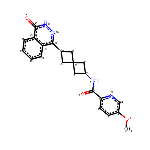 COc1ccc(C(=O)N[C@H]2CC3(C2)C[C@H](c2n[nH]c(=O)c4ccccc42)C3)nc1